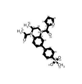 CC(=O)N1c2ccc(-c3ccc(S(C)(=O)=O)cc3)cc2N(C(=O)c2ccco2)CC1C